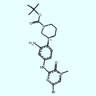 Cn1cc(Br)nc(Nc2ccc([C@@H]3CCCN(C(=O)OC(C)(C)C)C3)c(N)c2)c1=O